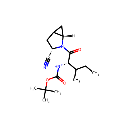 CCC(C)[C@H](NC(=O)OC(C)(C)C)C(=O)N1[C@H](C#N)CC2C[C@@H]21